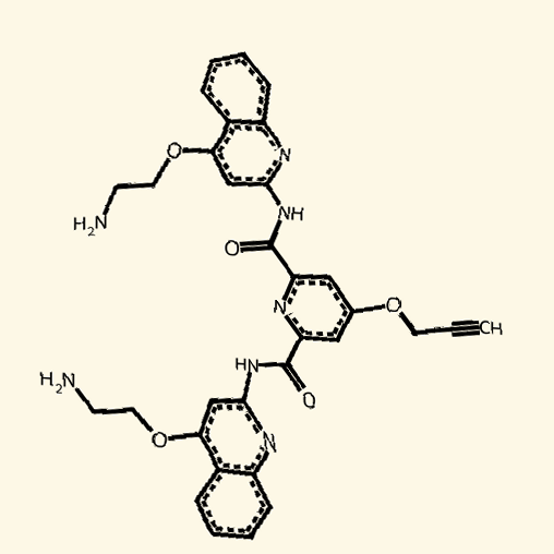 C#CCOc1cc(C(=O)Nc2cc(OCCN)c3ccccc3n2)nc(C(=O)Nc2cc(OCCN)c3ccccc3n2)c1